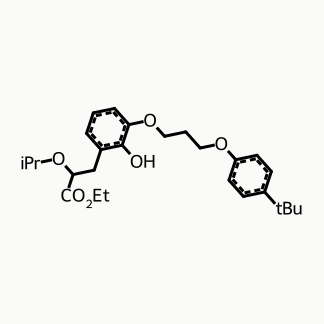 CCOC(=O)C(Cc1cccc(OCCCOc2ccc(C(C)(C)C)cc2)c1O)OC(C)C